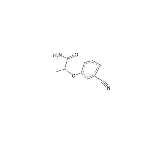 CC(Oc1cccc(C#N)c1)C(N)=O